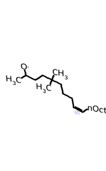 CCCCCCCC/C=C\CCCC(C)(C)CCC(C)[O]